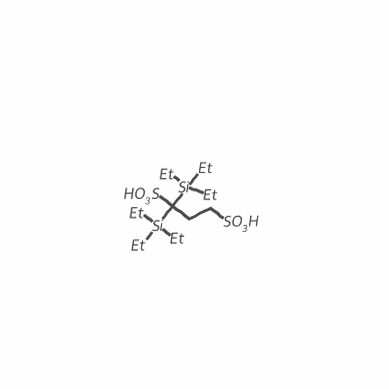 CC[Si](CC)(CC)C(CCS(=O)(=O)O)([Si](CC)(CC)CC)S(=O)(=O)O